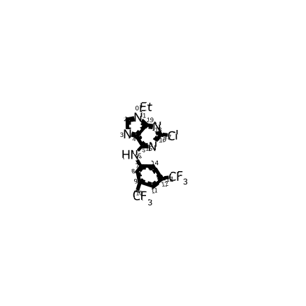 CCn1cnc2c(Nc3cc(C(F)(F)F)cc(C(F)(F)F)c3)nc(Cl)nc21